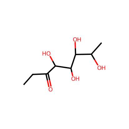 CCC(=O)C(O)C(O)C(O)C(C)O